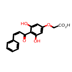 O=C(O)COc1cc(O)c(C(=O)/C=C\c2ccccc2)c(O)c1